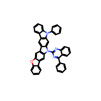 c1ccc(-c2nc(-n3c4cc5c(cc4c4cc6c7ccccc7n(-c7ccccc7)c6cc43)oc3ccccc35)nc3ccccc23)cc1